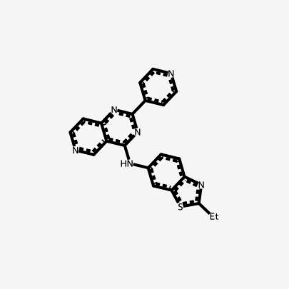 CCc1nc2ccc(Nc3nc(-c4ccncc4)nc4ccncc34)cc2s1